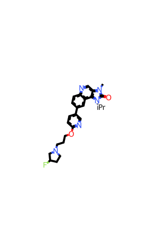 CC(C)n1c(=O)n(C)c2cnc3ccc(-c4ccc(OCCCN5CCC(F)C5)nc4)cc3c21